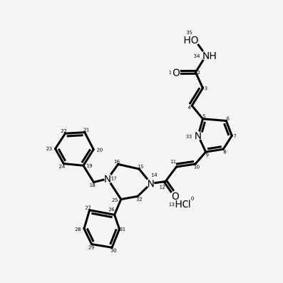 Cl.O=C(/C=C/c1cccc(/C=C/C(=O)N2CCN(Cc3ccccc3)C(c3ccccc3)C2)n1)NO